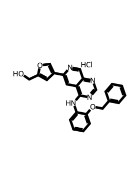 Cl.OCc1cc(-c2cc3c(Nc4ccccc4OCc4ccccc4)ncnc3cn2)co1